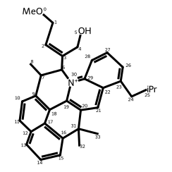 COC/C=C(\CO)C1C(C)c2ccc3cccc4c3c2-c2c(cc3c(CC(C)C)cccc3[n+]21)C4(C)C